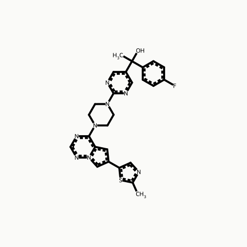 Cc1ncc(-c2cc3c(N4CCN(c5ncc(C(C)(O)c6ccc(F)cc6)cn5)CC4)ncnn3c2)s1